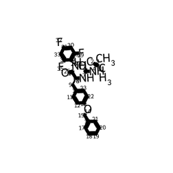 CC(C)(C)NC(=O)N[C@@H](Cc1ccc(OCc2ccccc2)cc1)C(=O)Nc1c(F)cc(F)cc1F